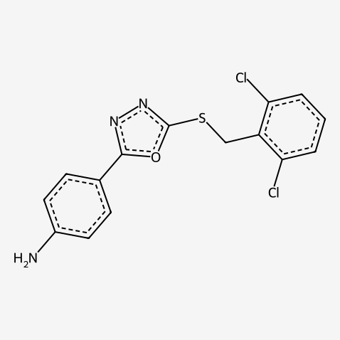 Nc1ccc(-c2nnc(SCc3c(Cl)cccc3Cl)o2)cc1